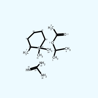 CC(=O)OC(C)C.CC1CCCC[Si]1(C)C.N=C(N)N